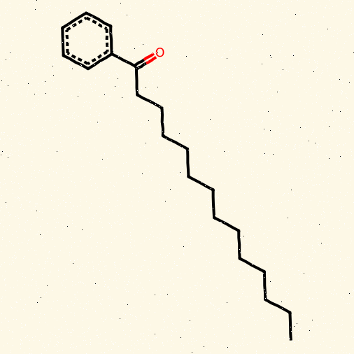 CCCCCCCCCCCCCC(=O)c1ccccc1